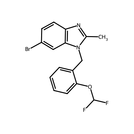 Cc1nc2ccc(Br)cc2n1Cc1ccccc1OC(F)F